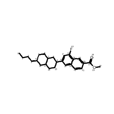 CCCCC1CCC2CC(c3cc(F)c4cc(C(=O)OC)ccc4c3)CCC2C1